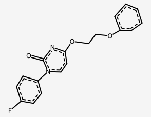 O=c1nc(OCCOc2ccccc2)ccn1-c1ccc(F)cc1